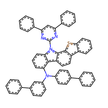 c1ccc(-c2ccc(N(c3cccc(-c4ccccc4)c3)c3cccc4c3c3ccc5c6ccccc6sc5c3n4-c3nc(-c4ccccc4)cc(-c4ccccc4)n3)cc2)cc1